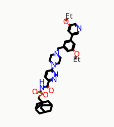 CCOc1cncc(-c2cc(CN3CCN(c4ccc(C(=O)NS(=O)(=O)CC56CC7CC(CC(C7)C5)C6)nn4)CC3)cc(OCC)c2)c1